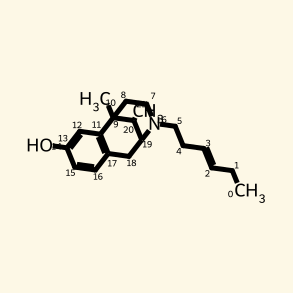 CCC=CCCN1CCC2(C)c3cc(O)ccc3CC1C2C